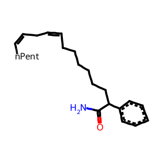 CCCCC/C=C\C/C=C\CCCCCCC(C(N)=O)c1ccccc1